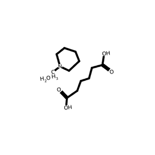 CN1CCCCC1.O.O=C(O)CCCCC(=O)O